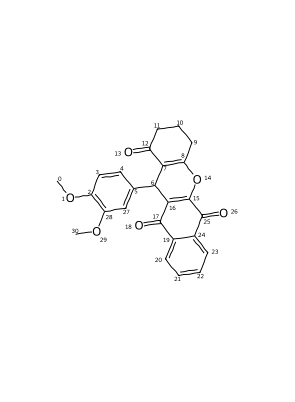 COc1ccc(C2C3=C(CCCC3=O)OC3=C2C(=O)c2ccccc2C3=O)cc1OC